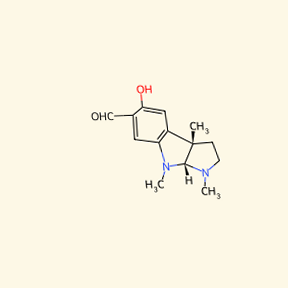 CN1CC[C@@]2(C)c3cc(O)c(C=O)cc3N(C)[C@@H]12